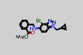 COC(=O)c1ccccc1CNc1ccc2c(nnn2CC2CC2)c1Br